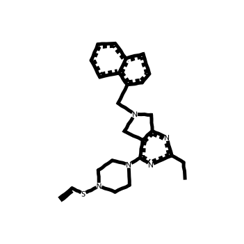 C=CSN1CCN(c2nc(CC)nc3c2CN(Cc2cccc4ccccc24)C3)CC1